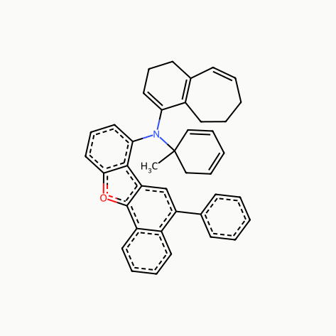 CC1(N(C2=CCCC3=C2CCCC=C3)c2cccc3oc4c5ccccc5c(-c5ccccc5)cc4c23)C=CC=CC1